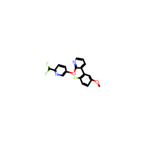 COc1ccc(F)c(-c2cccnc2Oc2ccc(C(F)F)nc2)c1